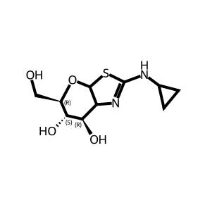 OC[C@H]1OC2SC(NC3CC3)=NC2[C@@H](O)[C@@H]1O